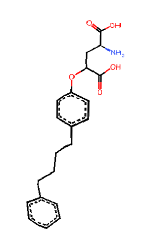 N[C@@H](CC(Oc1ccc(CCCCc2ccccc2)cc1)C(=O)O)C(=O)O